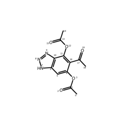 CC(=O)Oc1cc2[nH]nnc2c(OC(C)=O)c1C(C)=O